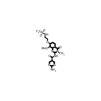 COc1c(OCCNS(=O)(=O)C(F)(F)F)ccc2c(=O)n(C)c(NC(=O)c3cnc(N)nc3)nc12